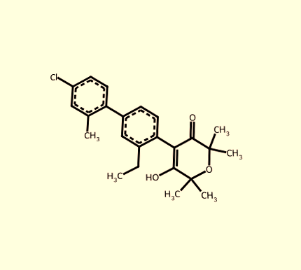 CCc1cc(-c2ccc(Cl)cc2C)ccc1C1=C(O)C(C)(C)OC(C)(C)C1=O